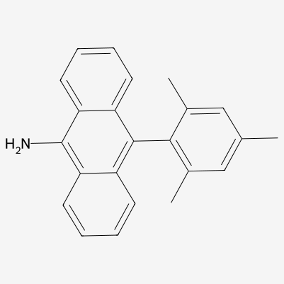 Cc1cc(C)c(-c2c3ccccc3c(N)c3ccccc23)c(C)c1